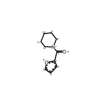 O=C(c1ccco1)N1CC[CH]CC1